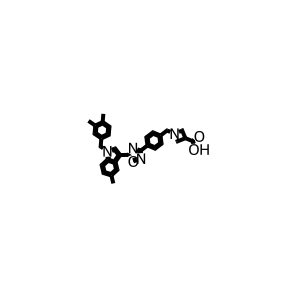 Cc1ccc2c(c1)c(-c1nc(-c3ccc(CN4CC(C(=O)O)C4)cc3)no1)cn2Cc1ccc(C)c(C)c1